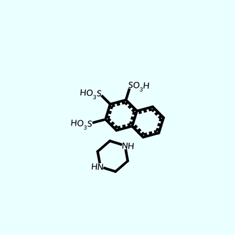 C1CNCCN1.O=S(=O)(O)c1cc2ccccc2c(S(=O)(=O)O)c1S(=O)(=O)O